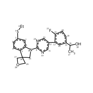 CCSc1ccc2c(c1)N(c1ncc(-c3cc(C(C)O)ccc3F)cn1)CC21COC1